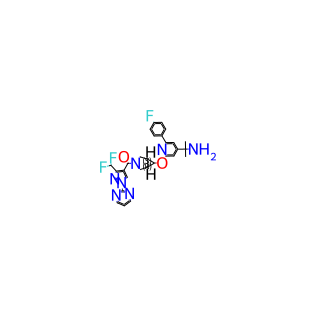 CC(C)(N)c1cc(OC2[C@H]3CN(C(=O)c4cn(-c5ncccn5)nc4C(F)F)C[C@@H]23)nc(-c2ccc(F)cc2)c1